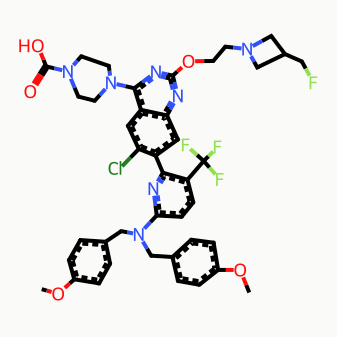 COc1ccc(CN(Cc2ccc(OC)cc2)c2ccc(C(F)(F)F)c(-c3cc4nc(OCCN5CC(CF)C5)nc(N5CCN(C(=O)O)CC5)c4cc3Cl)n2)cc1